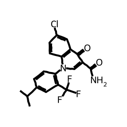 CC(C)c1ccc(-n2cc(C(N)=O)c(=O)c3cc(Cl)ccc32)c(C(F)(F)F)c1